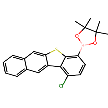 CC1(C)OB(c2ccc(Cl)c3c2sc2cc4ccccc4cc23)OC1(C)C